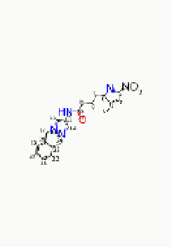 CC1=CC([N+](=O)[O-])=NC1CCCC(=O)Nc1cnn(Cc2ccccc2C)c1